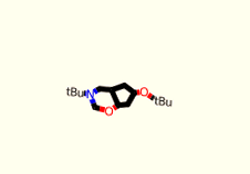 CC(C)(C)OC1CC2CN(C(C)(C)C)COC2C1